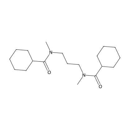 CN(CCCN(C)C(=O)C1CCCCC1)C(=O)C1CCCCC1